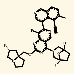 C#Cc1c(F)ccc2cncc(-c3ncc4c(N5C[C@H]6CC[C@@H](C5)O6)nc(OC[C@@]56CCCN5C[C@H](F)C6)nc4c3F)c12